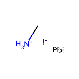 C[NH3+].[I-].[Pb]